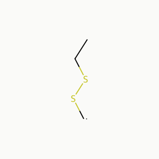 [CH2]SSCC